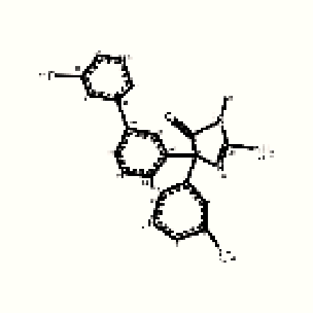 CN1C(=O)C(c2cncc(C(F)(F)F)c2)(c2cc(-c3cncc(F)c3)ccc2F)N=C1N